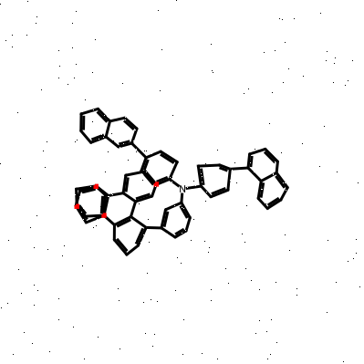 c1ccc(-c2ccccc2-c2c(-c3ccccc3)cccc2-c2cccc(N(c3ccc(-c4ccc5ccccc5c4)cc3)c3ccc(-c4cccc5ccccc45)cc3)c2)cc1